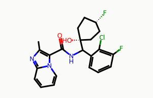 Cc1nc2ccccn2c1C(=O)NC(c1cccc(F)c1Cl)[C@]1(O)CC[C@@H](F)CC1